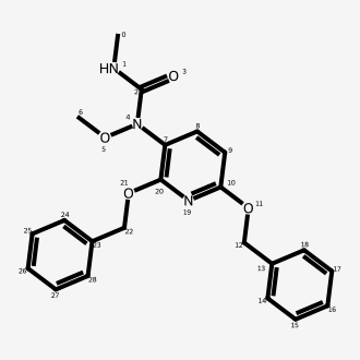 CNC(=O)N(OC)c1ccc(OCc2ccccc2)nc1OCc1ccccc1